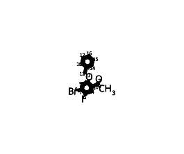 CC(=O)c1cc(F)c(Br)cc1OCc1ccccc1